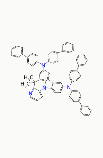 CC1(C)c2ncccc2-n2c3ccc(N(c4ccc(-c5ccccc5)cc4)c4ccc(-c5ccccc5)cc4)cc3c3cc(N(c4ccc(-c5ccccc5)cc4)c4ccc(-c5ccccc5)cc4)cc1c32